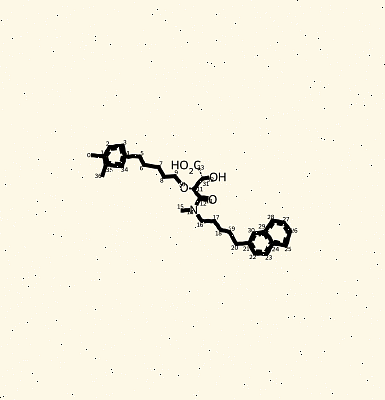 Cc1ccc(CCCCCO[C@@H](C(=O)N(C)CCCCCc2ccc3ccccc3c2)[C@@H](O)C(=O)O)cc1C